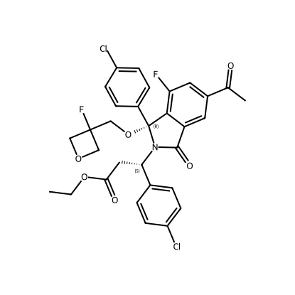 CCOC(=O)C[C@@H](c1ccc(Cl)cc1)N1C(=O)c2cc(C(C)=O)cc(F)c2[C@]1(OCC1(F)COC1)c1ccc(Cl)cc1